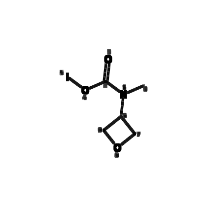 CN(C(=O)OI)C1COC1